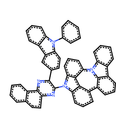 c1ccc(-n2c3ccccc3c3cc(-c4nc5c(ccc6ccccc65)nc4-n4c5cccc6c7cccc8c9ccccc9n(c9cccc4c9c65)c78)ccc32)cc1